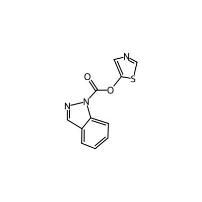 O=C(Oc1cncs1)n1ncc2ccccc21